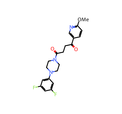 COc1ccc(C(=O)CCC(=O)N2CCN(c3cc(F)cc(F)c3)CC2)cn1